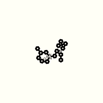 c1ccc(-c2cc(-c3ccccc3)cc(-c3cccc(-c4nc(-c5cccc(-c6cccc7c6c6cc(-c8ccccc8)ccc6n7-c6ccc7c(c6)C(c6ccccc6)(c6ccccc6)c6ccccc6-7)c5)nc(-c5cccc6c5oc5ccccc56)n4)c3)c2)cc1